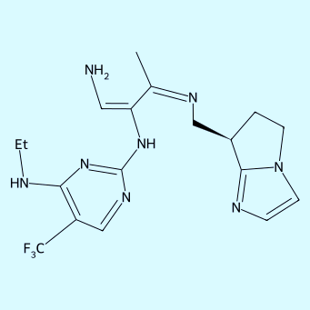 CCNc1nc(NC(=C/N)/C(C)=N\C[C@H]2CCn3ccnc32)ncc1C(F)(F)F